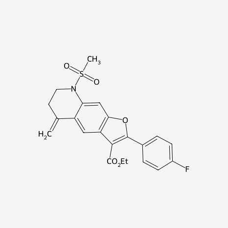 C=C1CCN(S(C)(=O)=O)c2cc3oc(-c4ccc(F)cc4)c(C(=O)OCC)c3cc21